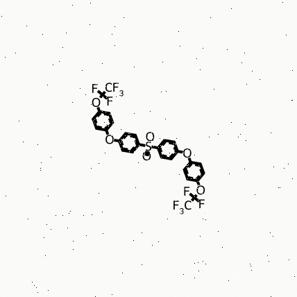 O=S(=O)(c1ccc(Oc2ccc(OC(F)(F)C(F)(F)F)cc2)cc1)c1ccc(Oc2ccc(OC(F)(F)C(F)(F)F)cc2)cc1